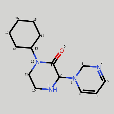 O=C1C(N2C=CC=NC2)NCCN1C1CCCCC1